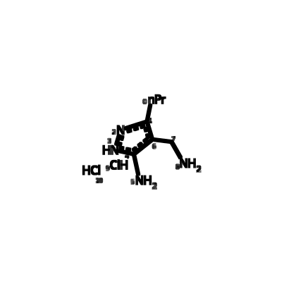 CCCc1n[nH]c(N)c1CN.Cl.Cl